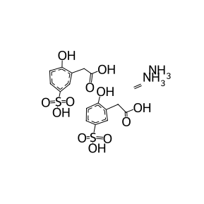 C=C.N.N.O=C(O)Cc1cc(S(=O)(=O)O)ccc1O.O=C(O)Cc1cc(S(=O)(=O)O)ccc1O